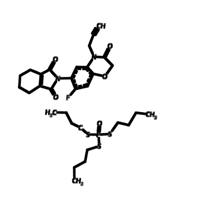 C#CCN1C(=O)COc2cc(F)c(N3C(=O)C4=C(CCCC4)C3=O)cc21.CCCCSP(=O)(SCCCC)SCCCC